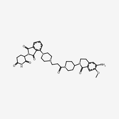 COc1cc2c(cc1N)CCN(C1CCN(C(=O)CCN3CCN(c4cccc5c4C(=O)N(C4CCC(=O)NC4=O)C5=O)CC3)CC1)C2=O